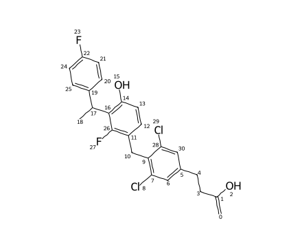 C=C(O)CCc1cc(Cl)c(Cc2ccc(O)c(C(C)c3ccc(F)cc3)c2F)c(Cl)c1